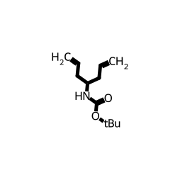 C=CCC(CC=C)NC(=O)OC(C)(C)C